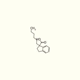 CCCCCCC1(C(=O)O)CCc2ccccc21